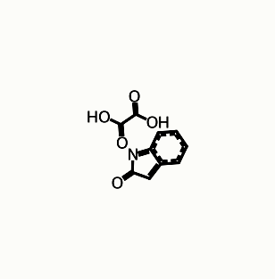 O=C(O)C(=O)O.O=C1C=c2ccccc2=N1